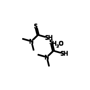 CN(C)C(=S)S.CN(C)C(=S)S.O